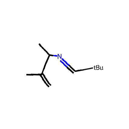 C=C(C)C(C)/N=C/C(C)(C)C